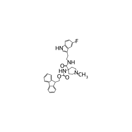 CN1CCC(NC(=O)OCC2c3ccccc3-c3ccccc32)(C(=O)NCCc2c[nH]c3ccc(F)cc23)CC1